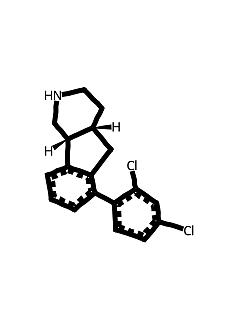 Clc1ccc(-c2cccc3c2C[C@H]2CCNC[C@@H]32)c(Cl)c1